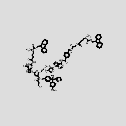 CCCOP(OC[C@H]1O[C@@H](n2cnc3c(=O)[nH]c(NC(=O)CCCN(C)C(=O)OCC4c5ccccc5-c5ccccc54)nc32)CC1OC(=O)CCC(C)=O)OC1C[C@H](n2cnc3c(NC(=O)c4ccc(CNC(=O)COC(=O)CCCN(C)C(=O)OCC5c6ccccc6-c6ccccc65)cc4)ncnc32)O[C@@H]1COC(c1ccccc1)(c1ccc(OC)cc1)c1ccc(OC)cc1